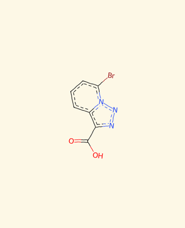 O=C(O)c1nnn2c(Br)cccc12